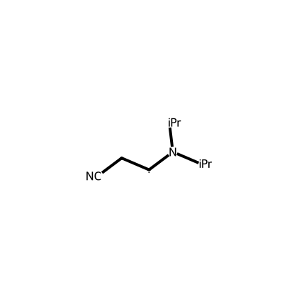 CC(C)N([CH]CC#N)C(C)C